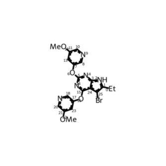 CCc1[nH]c2nc(Oc3cncc(OC)c3)nc(Oc3cncc(OC)c3)c2c1Br